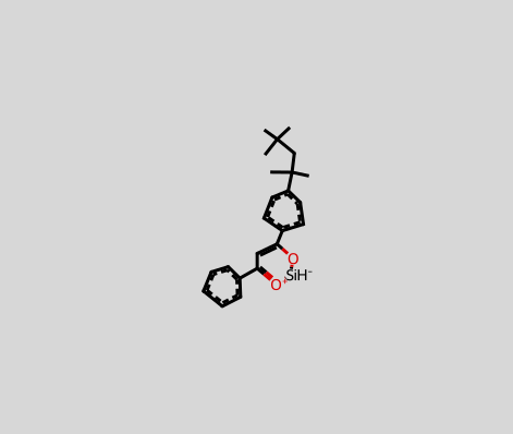 CC(C)(C)CC(C)(C)c1ccc(C2=CC(c3ccccc3)=[O+][SiH-]O2)cc1